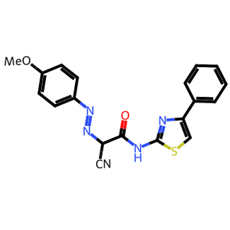 COc1ccc(N=NC(C#N)C(=O)Nc2nc(-c3ccccc3)cs2)cc1